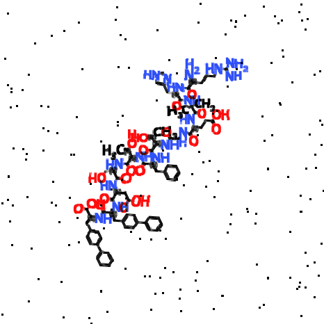 C[C@@H](O)[C@H](NC(=O)CNC(=O)[C@H](CCC(=O)O)NC(=O)C(C)(C)NC(=O)[C@H](Cc1c[nH]cn1)NC(=O)[C@@H](N)CCCNC(=N)N)C(=O)N[C@@H](Cc1ccccc1)C(=O)N[C@H](C(=O)N[C@@H](CO)C(=O)N[C@@H](CC(=O)O)C(=O)N[C@@H](Cc1ccc(-c2ccccc2)cc1)C(=O)N[C@@H](Cc1ccc(-c2ccccc2)cc1)C(=O)O)[C@@H](C)O